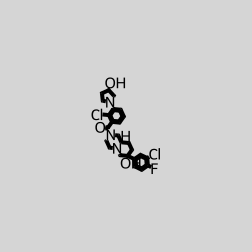 O=C(c1cccc(N2CC[C@@H](O)C2)c1Cl)N1CCN2C[C@@](O)(c3ccc(F)c(Cl)c3)CC[C@@H]2C1